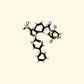 C[S+]([O-])c1cn(-c2ncc(-c3ccccc3)cn2)c2cc(C(=O)N3C[C@H]4C[C@@H]3CN4)ccc12